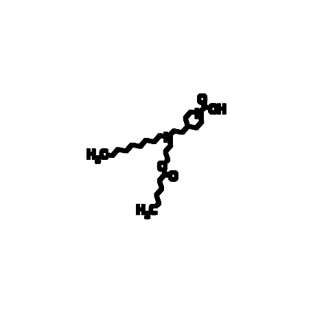 CCCCCCCCCN(CCCOC(=O)CCCCC)CCC1CCN(C(=O)O)CC1